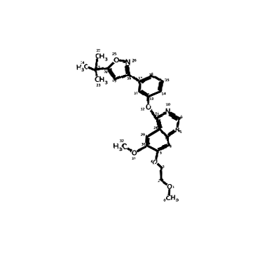 COCCOc1cc2ncnc(Oc3cccc(-c4cc(C(C)(C)C)on4)c3)c2cc1OC